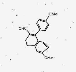 COc1ccc(C2=C(C=O)CCc3cc(OC)ccc32)cc1